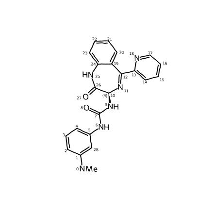 CNc1cccc(NC(=O)N[C@@H]2N=C(c3ccccn3)c3ccccc3NC2=O)c1